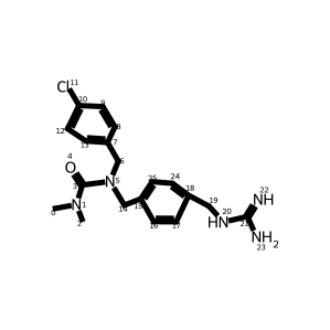 CN(C)C(=O)N(Cc1ccc(Cl)cc1)Cc1ccc(CNC(=N)N)cc1